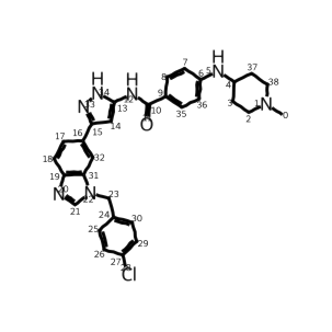 CN1CCC(Nc2ccc(C(=O)Nc3cc(-c4ccc5ncn(Cc6ccc(Cl)cc6)c5c4)n[nH]3)cc2)CC1